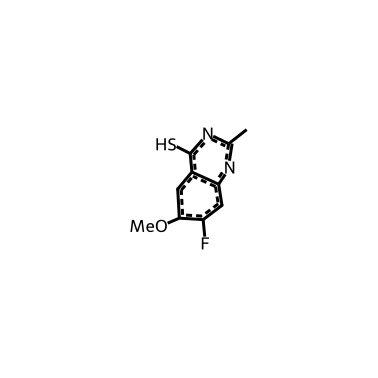 COc1cc2c(S)nc(C)nc2cc1F